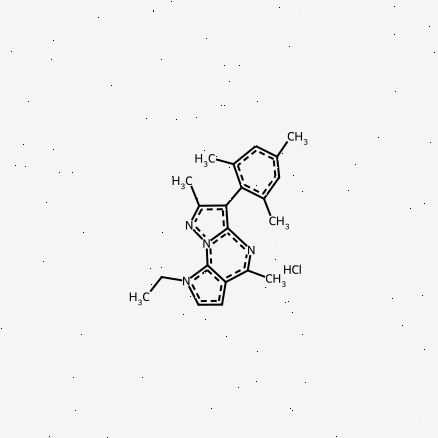 CCn1ccc2c(C)nc3c(-c4c(C)cc(C)cc4C)c(C)nn3c21.Cl